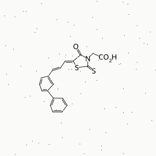 O=C(O)CN1C(=O)C(=CC=Cc2cccc(-c3ccccc3)c2)SC1=S